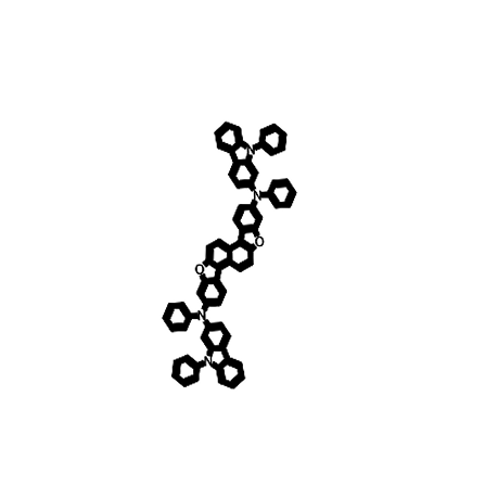 c1ccc(N(c2ccc3c(c2)oc2ccc4c(ccc5oc6cc(N(c7ccccc7)c7ccc8c9ccccc9n(-c9ccccc9)c8c7)ccc6c54)c23)c2ccc3c4ccccc4n(-c4ccccc4)c3c2)cc1